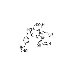 O=CNCc1ccc(CC(=O)N[C@@H](CN[C@H](CC(=O)O)C(=O)N[C@@H](CS)C(=O)O)CC(=O)O)cc1